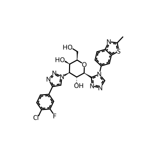 Cc1nc2ccc(-n3cnnc3[C@@H]3O[C@H](CO)[C@H](O)[C@H](n4cc(-c5ccc(Cl)c(F)c5)nn4)[C@H]3O)cc2s1